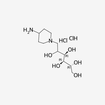 Cl.Cl.NC1CCN(CC(O)[C@@H](O)[C@H](O)[C@H](O)CO)CC1